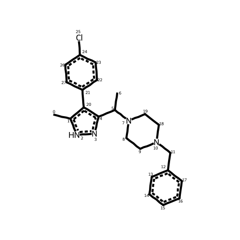 Cc1[nH]nc(C(C)N2CCN(Cc3ccccc3)CC2)c1-c1ccc(Cl)cc1